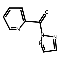 O=C(c1ccccn1)n1nccn1